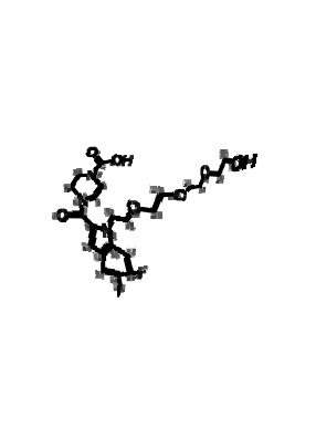 O=C(O)N1CCN(C(=O)c2cc3cc(F)c(F)cc3n2CCOCCOCCOCCO)CC1